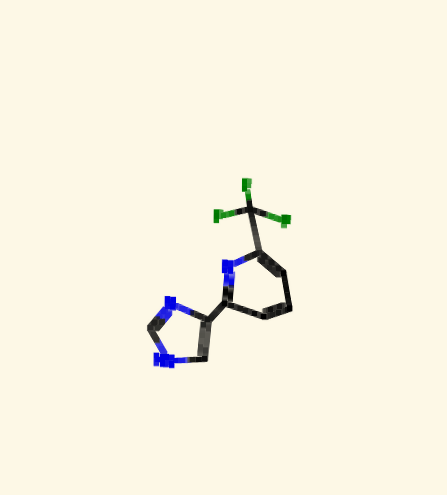 FC(F)(F)c1cccc(-c2c[nH]cn2)n1